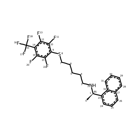 C[C@@H](NCCCCCSc1c(F)c(F)c(C(F)(F)F)c(F)c1F)c1cccc2ccccc12